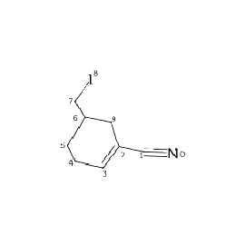 N#CC1=CCCC(CI)C1